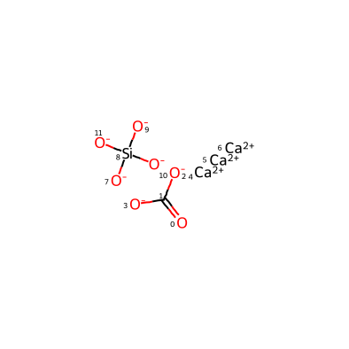 O=C([O-])[O-].[Ca+2].[Ca+2].[Ca+2].[O-][Si]([O-])([O-])[O-]